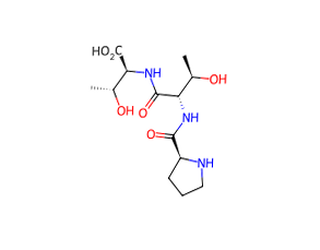 C[C@@H](O)[C@H](NC(=O)[C@@H](NC(=O)[C@@H]1CCCN1)[C@@H](C)O)C(=O)O